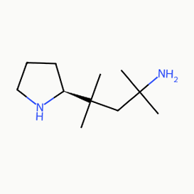 CC(C)(N)CC(C)(C)[C@@H]1CCCN1